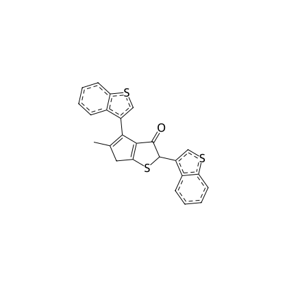 CC1=C(c2csc3ccccc23)C2=C(C1)SC(c1csc3ccccc13)C2=O